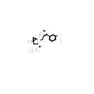 Cc1nc(C(=O)N2[C@H](C(N)=O)C[C@@H]3C[C@@H]32)c(-c2ccc(Cl)c(Cl)c2)s1